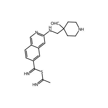 CC(=N)SC(=N)c1ccc2cnc(NCC3(C=O)CCNCC3)cc2c1